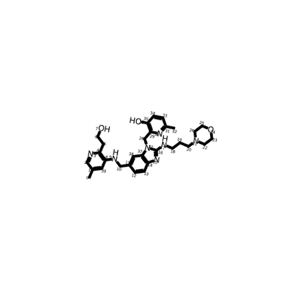 Cc1cnc(CCO)c(NCc2ccc3nc(NCCCN4CCOCC4)n(Cc4nc(C)ccc4O)c3c2)c1